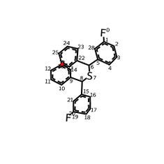 Fc1cccc(C(SC(c2ccccc2)c2cccc(F)c2)c2ccccc2)c1